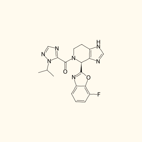 CC(C)n1ncnc1C(=O)N1CCc2[nH]cnc2[C@H]1c1nc2cccc(F)c2o1